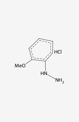 COc1ccccc1NN.Cl